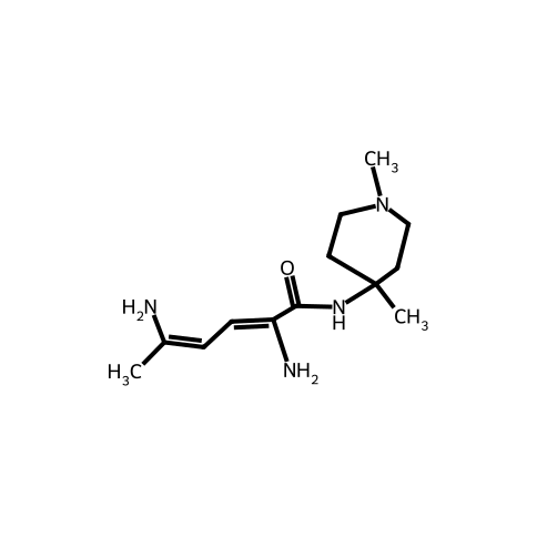 C/C(N)=C/C=C(\N)C(=O)NC1(C)CCN(C)CC1